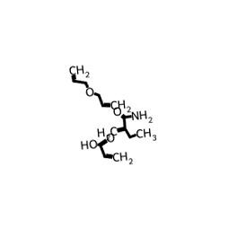 C=C(CC)C(N)=O.C=CC(=O)O.C=CCOCC=C